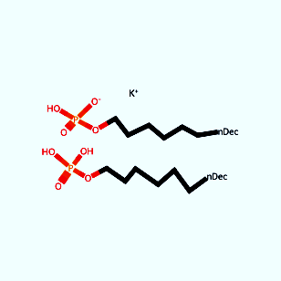 CCCCCCCCCCCCCCCCOP(=O)(O)O.CCCCCCCCCCCCCCCCOP(=O)([O-])O.[K+]